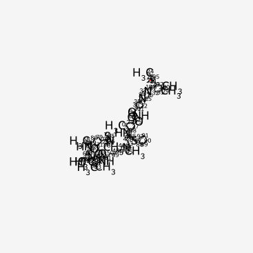 Cc1cc(S(=O)(=O)NC(=O)c2ccc(N3CCN(CC4=C(C56CC(C)(C5)C6)CC(C)(C)CC4)CC3)cc2)ccc1N[C@H](CCN(C)CCCCCCC(=O)N[C@H](C(=O)N1C[C@H](O)C[C@H]1C(=O)N[C@@H](C)c1ccc(-c2scnc2C)cc1)C(C)(C)C)CSc1ccccc1